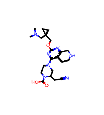 CN(C)CC1(COc2nc3c(c(N4CCN(C(=O)O)C(CC#N)C4)n2)CCNC3)CC1